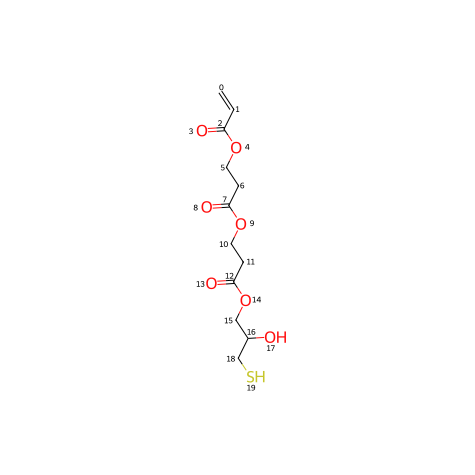 C=CC(=O)OCCC(=O)OCCC(=O)OCC(O)CS